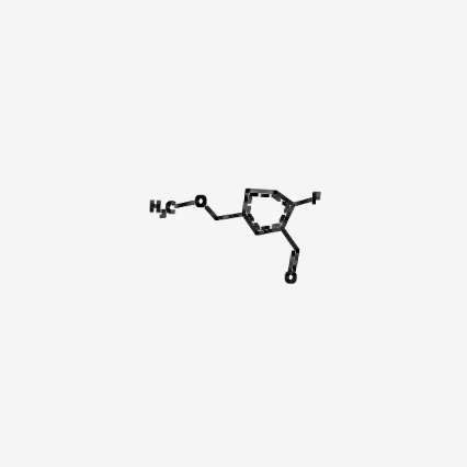 COCc1ccc(F)c(C=O)c1